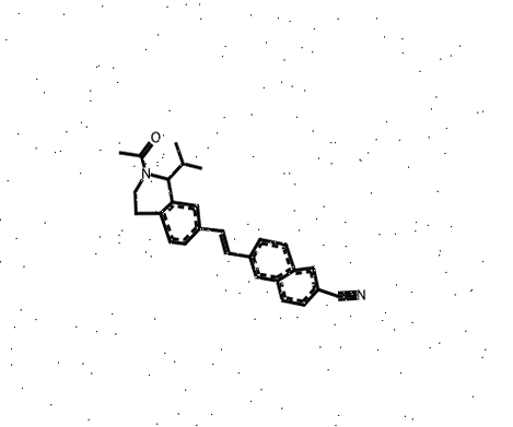 CC(=O)N1CCc2ccc(/C=C/c3ccc4cc(C#N)ccc4c3)cc2C1C(C)C